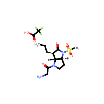 CCC[C@H]1C(=O)N(S(C)(=O)=O)[C@H]2CCN(C(=O)CN)[C@H]12.O=C(O)C(F)(F)F